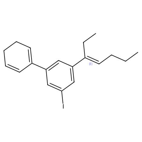 CCC/C=C(\CC)c1cc(I)cc(C2=CCCC=C2)c1